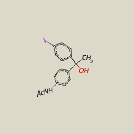 CC(=O)Nc1ccc(C(C)(O)c2ccc(I)cc2)cc1